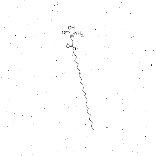 CCCCCCCCCCCCCCCCCCCCCCOC(=O)CC[C@H](N)C(=O)O